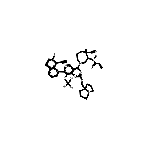 [2H]C([2H])([2H])Oc1c(-c2cccc3ccc(F)c(C#C)c23)ncc2c(N3CCCC(C)(C#N)C(N(C)C(=O)C=C)C3)nc(OCC34CCCN3CCC4)nc12